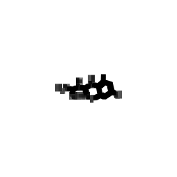 Cc1cc(Cl)cc(F)c1NC(=N)NC(=N)N